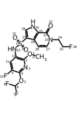 COc1nc(OC(F)F)c(F)cc1NS(=O)(=O)c1c[nH]c2c(=O)n(CCF)ccc12